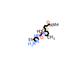 CCc1cc(NC(=O)C(=O)N2C[C@@H](C)CC[C@@]2(C)c2ccc(C(=O)NC)s2)cnc1N